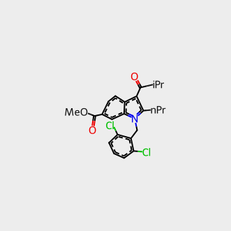 CCCc1c(C(=O)C(C)C)c2ccc(C(=O)OC)cc2n1Cc1c(Cl)cccc1Cl